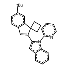 CC(C)(C)c1ccc2c(c1)C1(CCC1)C(c1cc3ccccc3n1-c1ccccn1)=C2